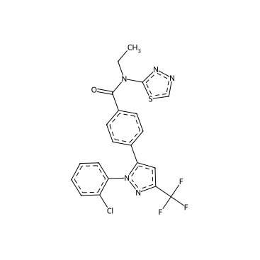 CCN(C(=O)c1ccc(-c2cc(C(F)(F)F)nn2-c2ccccc2Cl)cc1)c1nncs1